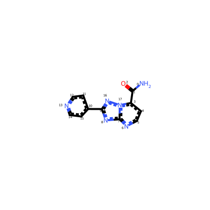 NC(=O)c1ccnc2nc(-c3ccncc3)nn12